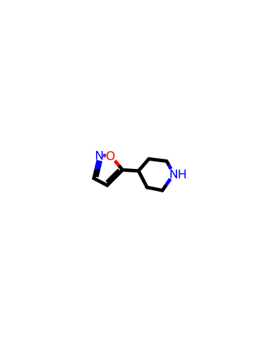 c1cc(C2CCNCC2)on1